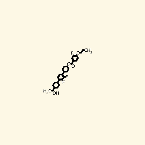 C=CCOc1ccc(C(=O)OC2CCC(c3ccc(C4CCC(C(C)O)CC4)c(F)c3F)CC2)cc1F